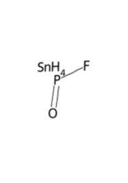 O=PF.[SnH4]